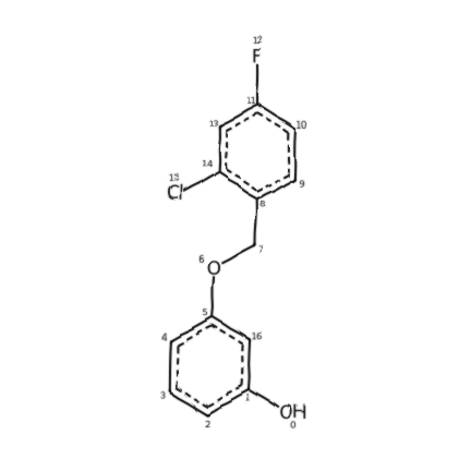 Oc1cccc(OCc2ccc(F)cc2Cl)c1